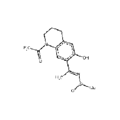 CC(=N[S+]([O-])C(C)(C)C)c1cc2c(cc1O)CCCN2C(=O)C(F)(F)F